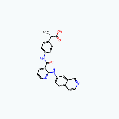 C[C@H](C(=O)O)c1ccc(NC(=O)c2cccnc2Nc2ccc3ccncc3c2)cc1